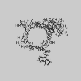 CC[C@H](C)[C@@H]1NC(=O)[C@@H](CCCNC(=N)N)NC(=O)[C@H](CC(C)C)NC(=O)[C@H]([C@H](O)C(C)C)NC(=O)[C@@H](NC(=O)[C@H](CC(C)(C)C)NC(=O)[C@@H](CC(C)(C)C)NC(=O)OC(C)(C)C)[C@@H](c2ccccc2)NC(=O)C(CO)NC(=O)[C@H](CNC(=O)OCC2c3ccccc3-c3ccccc32)NC(=O)CNC(=O)[C@H]([C@H](C)O)NC1=O